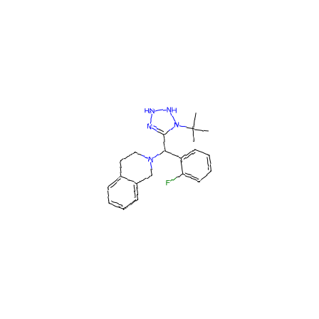 CC(C)(C)N1NNN=C1C(c1ccccc1F)N1CCc2ccccc2C1